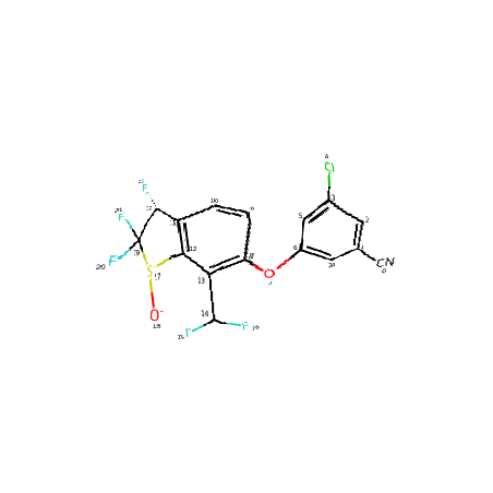 N#Cc1cc(Cl)cc(Oc2ccc3c(c2C(F)F)[S+]([O-])C(F)(F)[C@@H]3F)c1